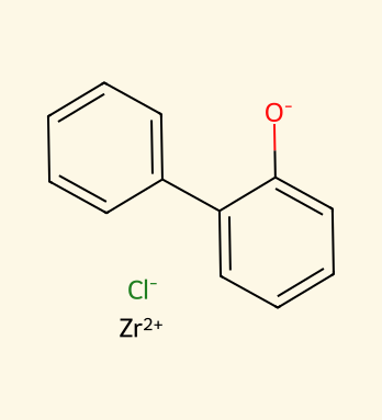 [Cl-].[O-]c1ccccc1-c1ccccc1.[Zr+2]